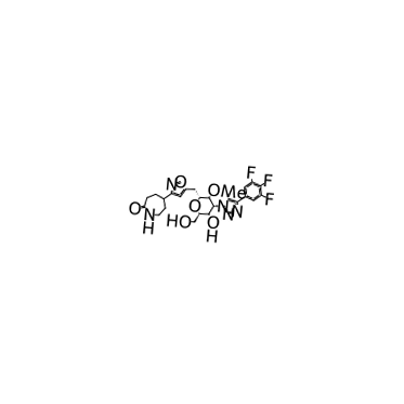 CO[C@@H]1[C@@H](n2cc(-c3cc(F)c(F)c(F)c3)nn2)[C@@H](O)[C@@H](CO)O[C@@H]1Cc1cc(C2CCNC(=O)CC2)no1